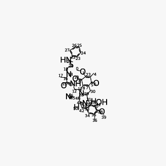 COC1=C(C)C(=O)C2=C(C1=O)C(CNC(=O)C(C)/N=C/SNc1ccccc1)N1C(C2)[C@H]2c3c(cc(C)c(OC)c3O)C[C@@H]([C@@H]1C#N)N2C